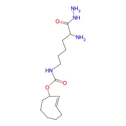 NNC(=O)C(N)CCCCNC(=O)OC1/C=C/CCCCC1